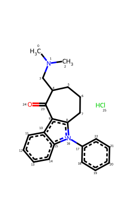 CN(C)CC1CCCc2c(c3ccccc3n2-c2ccccc2)C1=O.Cl